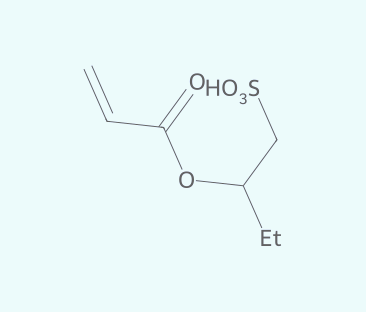 C=CC(=O)OC(CC)CS(=O)(=O)O